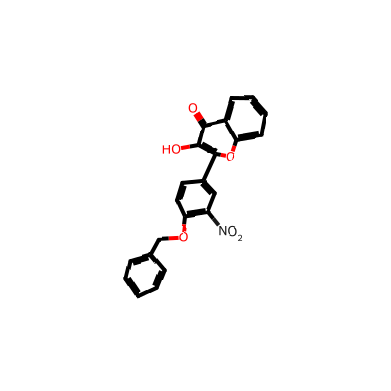 O=c1c(O)c(-c2ccc(OCc3ccccc3)c([N+](=O)[O-])c2)oc2ccccc12